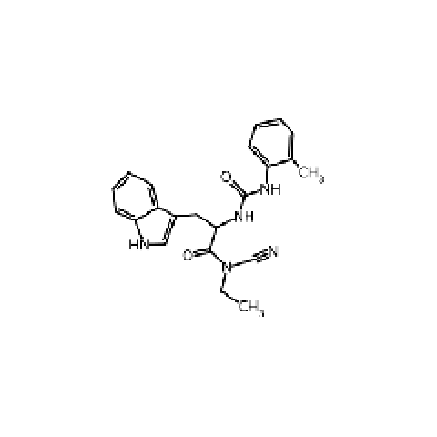 CCN(C#N)C(=O)C(Cc1c[nH]c2ccccc12)NC(=O)Nc1ccccc1C